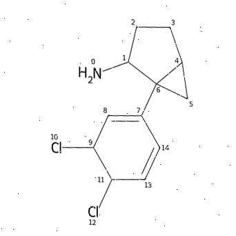 NC1CCC2CC12C1=CC(Cl)C(Cl)C=C1